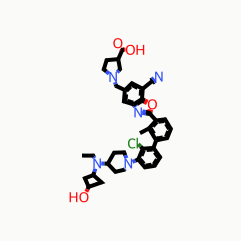 CCN(C1CCN(c2cccc(-c3cccc(-c4nc5cc(CN6CCC(C(=O)O)C6)cc(C#N)c5o4)c3C)c2Cl)CC1)C1CC(O)C1